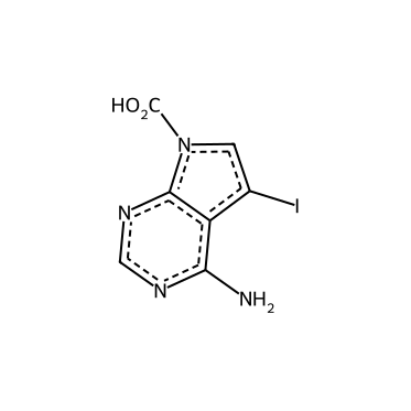 Nc1ncnc2c1c(I)cn2C(=O)O